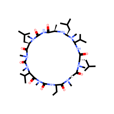 CCC1NC(=O)N(C)C(=O)C(C(C)C)N(C)C(=O)N(C)C(=O)[C@@H](CC(C)C)N(C)C(=O)NC(=O)[C@@H](C)N[C@@H](CC(C)C)N(C)C(C(C)C)NC(=O)[C@H](CC(C)C)N(C)C(=O)CN(C)C1=O